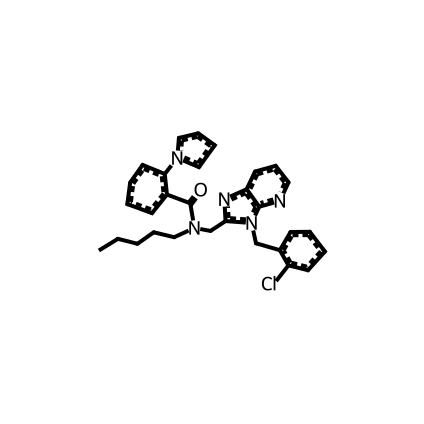 CCCCCN(Cc1nc2cccnc2n1Cc1ccccc1Cl)C(=O)c1ccccc1-n1cccc1